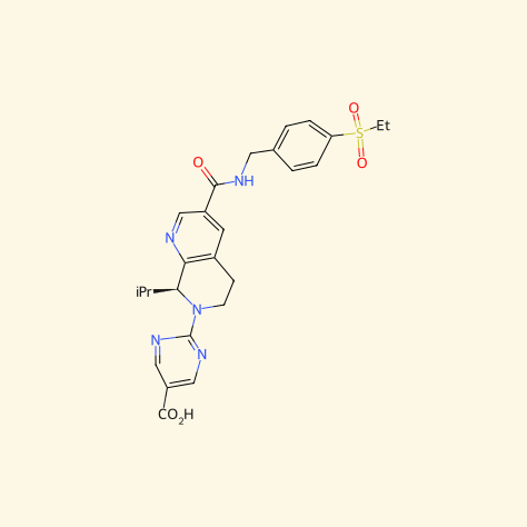 CCS(=O)(=O)c1ccc(CNC(=O)c2cnc3c(c2)CCN(c2ncc(C(=O)O)cn2)[C@H]3C(C)C)cc1